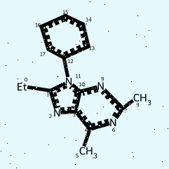 CCc1nc2c(C)nc(C)nc2n1-c1c[c]ccc1